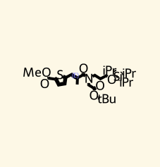 COC(=O)c1ccc(/C=C(\C)C(=O)N(CCCO[Si](C(C)C)(C(C)C)C(C)C)CC(=O)OC(C)(C)C)s1